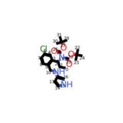 CCC(c1cc(Cl)ccc1CNc1cc[nH]c1)N(C(=O)OC(C)(C)C)C(=O)OC(C)(C)C